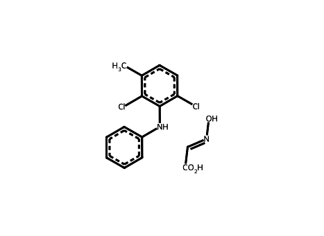 Cc1ccc(Cl)c(Nc2ccccc2)c1Cl.O=C(O)C=NO